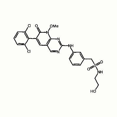 COn1c(=O)c(-c2c(Cl)cccc2Cl)cc2cnc(Nc3cccc(CS(=O)(=O)NCCO)c3)nc21